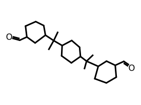 CC(C)(C1CCC(C(C)(C)C2CCCC(C=O)C2)CC1)C1CCCC(C=O)C1